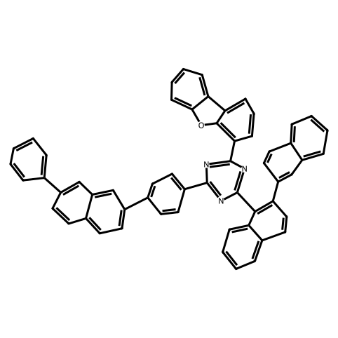 c1ccc(-c2ccc3ccc(-c4ccc(-c5nc(-c6c(-c7ccc8ccccc8c7)ccc7ccccc67)nc(-c6cccc7c6oc6ccccc67)n5)cc4)cc3c2)cc1